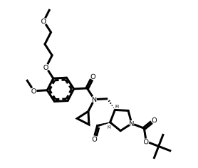 COCCCOc1cc(C(=O)N(C[C@@H]2CN(C(=O)OC(C)(C)C)C[C@H]2C=O)C2CC2)ccc1OC